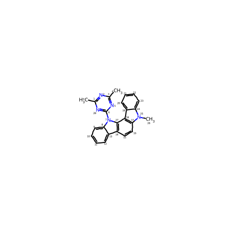 Cc1nc(C)nc(-n2c3ccccc3c3ccc4c(c5ccccc5n4C)c32)n1